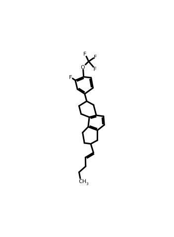 CCCC=CC1CCc2c(ccc3c2CCC(c2ccc(OC(F)(F)F)c(F)c2)C3)C1